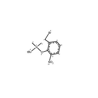 CC(C)(C)[Si](C)(C)Oc1c(CBr)cccc1[N+](=O)[O-]